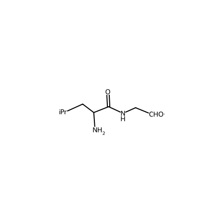 CC(C)CC(N)C(=O)NC[C]=O